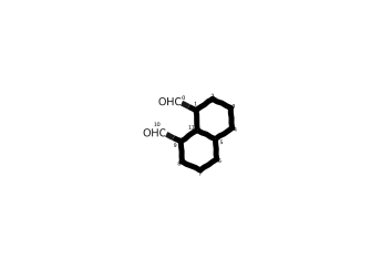 O=CC1CCCC2CCCC(C=O)C12